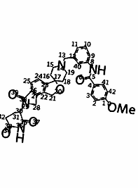 COc1ccc(C(=O)Nc2cccc(CN3CCC4(CC3)OCc3c4ccc4c3CN(C3CCC(=O)NC3=O)C4=O)c2)cc1